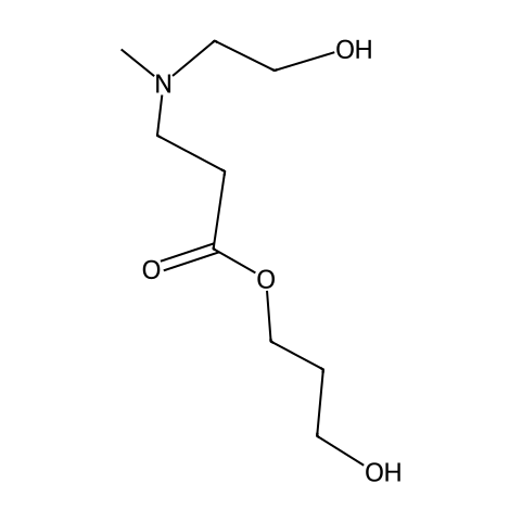 CN(CCO)CCC(=O)OCCCO